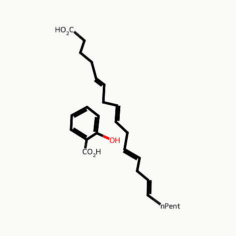 CCCCCC=CCC=CCC=CCC=CCCCC(=O)O.O=C(O)c1ccccc1O